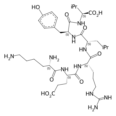 CC(C)C[C@H](NC(=O)[C@H](CCCNC(=N)N)NC(=O)[C@H](CCC(=O)O)NC(=O)[C@@H](N)CCCCN)C(=O)N[C@@H](Cc1ccc(O)cc1)C(=O)N[C@H](C(=O)O)C(C)C